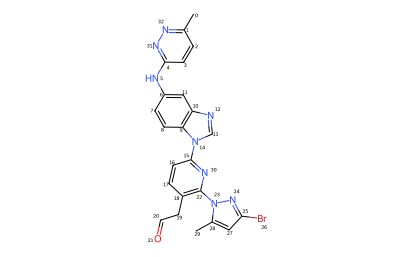 Cc1ccc(Nc2ccc3c(c2)ncn3-c2ccc(CC=O)c(-n3nc(Br)cc3C)n2)nn1